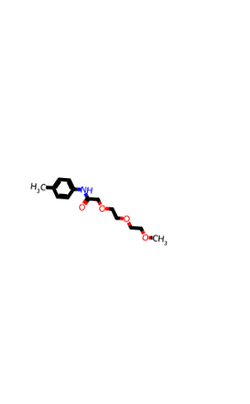 COCCOCCOCC(=O)Nc1ccc(C)cc1